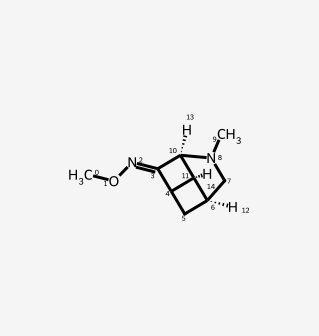 CO/N=C1\C2C[C@@H]3CN(C)[C@H]1[C@H]23